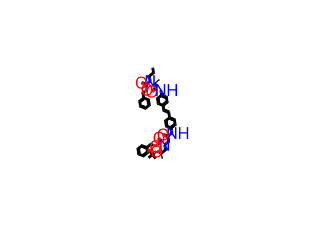 CCCN(C(=O)OCc1ccccc1)[C@@H](C)C(=O)Nc1ccc(/C=C/c2ccc(NC(=O)CN(C[C@@H](C)OC(C)(C)C)C(=O)OCc3ccccc3)cc2)cc1